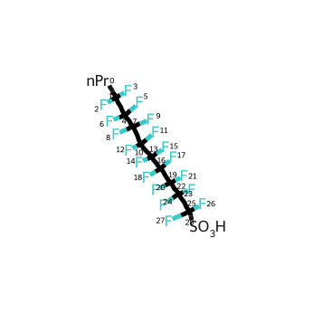 CCCC(F)(F)C(F)(F)C(F)(F)C(F)(F)C(F)(F)C(F)(F)C(F)(F)C(F)(F)C(F)(F)S(=O)(=O)O